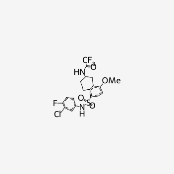 COc1ccc(S(=O)(=O)Nc2ccc(F)c(Cl)c2)c2c1CC(NC(=O)C(F)(F)F)CC2